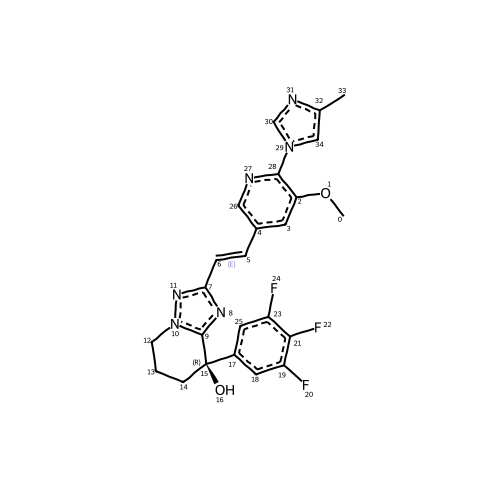 COc1cc(/C=C/c2nc3n(n2)CCC[C@@]3(O)c2cc(F)c(F)c(F)c2)cnc1-n1cnc(C)c1